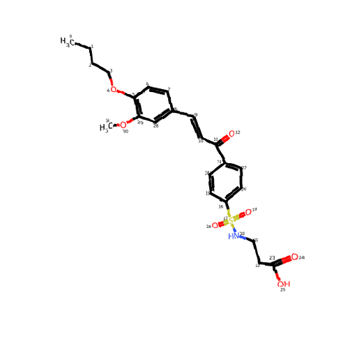 CCCCOc1ccc(/C=C/C(=O)c2ccc(S(=O)(=O)NCCC(=O)O)cc2)cc1OC